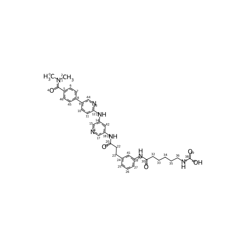 CN(C)C(=O)c1ccc(-c2ccc(Nc3cncc(NC(=O)CCc4cccc(NC(=O)CCCCCNC(=O)O)c4)c3)nc2)cc1